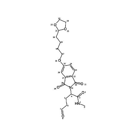 CNC(=O)C(CCC=O)N1C(=O)c2ccc(OCCCCC3OCCO3)cc2C1=O